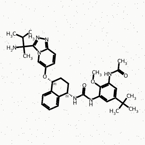 COc1c(NC(C)=O)cc(C(C)(C)C)cc1NC(=O)N[C@H]1CC[C@@H](Oc2ccc3nnc(C(C)(N)C(C)C)n3c2)c2ccccc21